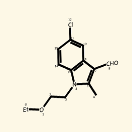 CCOCCn1c(C)c(C=O)c2cc(Cl)ccc21